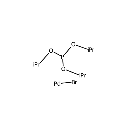 CC(C)OP(OC(C)C)OC(C)C.[Br][Pd]